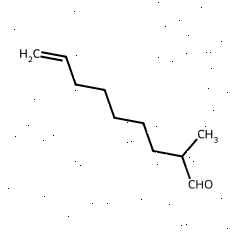 C=CCCCCCC(C)C=O